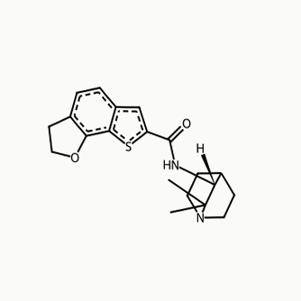 CC1(C)[C@H](NC(=O)c2cc3ccc4c(c3s2)OCC4)C2CCN1CC2